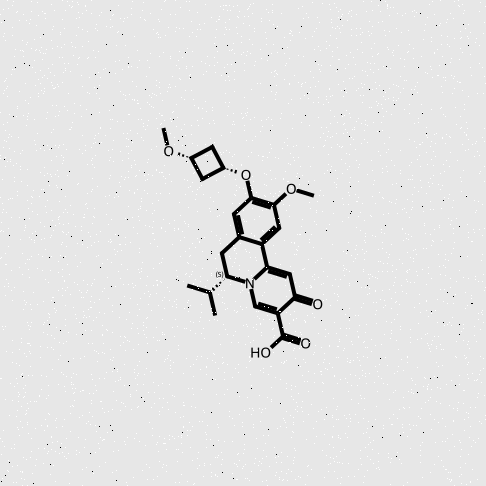 COc1cc2c(cc1O[C@H]1C[C@@H](OC)C1)C[C@@H](C(C)C)n1cc(C(=O)O)c(=O)cc1-2